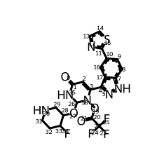 O=C1C=C(c2n[nH]c3ccc(-c4nccs4)cc23)N(OC(=O)C(F)(F)F)C(OC2CNCCC2F)N1